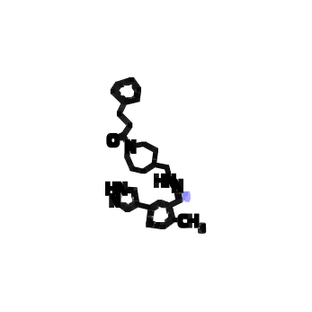 Cc1ccc(-c2cn[nH]c2)cc1/C=N\NCC1CCCN(C(=O)CCc2ccccc2)CC1